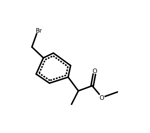 COC(=O)C(C)c1ccc(CBr)cc1